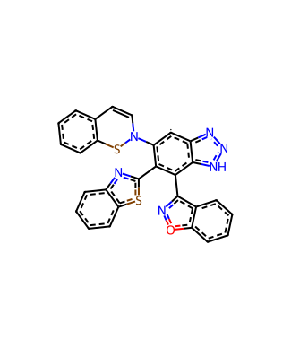 [c]1c(N2C=Cc3ccccc3S2)c(-c2nc3ccccc3s2)c(-c2noc3ccccc23)c2[nH]nnc12